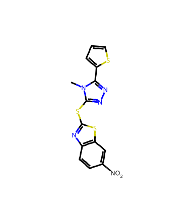 Cn1c(Sc2nc3ccc([N+](=O)[O-])cc3s2)nnc1-c1cccs1